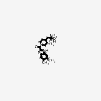 Cc1cc2nc(C(=O)N3CCC(CC(C)(C)O)CC3)[nH]c2cc1C